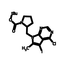 Cc1c(I)c2c(Cl)ncnc2n1CC1CCCN1C(=O)OC(C)(C)C